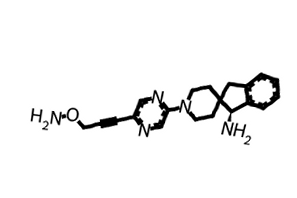 NOCC#Cc1cnc(N2CCC3(CC2)Cc2ccccc2[C@H]3N)cn1